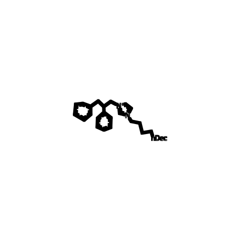 CCCCCCCCCCCCCCn1cc[n+](CC(Cc2ccccc2)c2ccccc2)c1